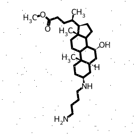 COC(=O)CC[C@@H](C)[C@H]1CCC2C3C(CC[C@@]21C)[C@@]1(C)CC[C@H](NCCCCN)C[C@@H]1C[C@H]3O